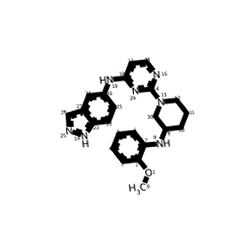 COc1ccccc1NC1CCCN(c2nccc(Nc3ccc4[nH]ncc4c3)n2)C1